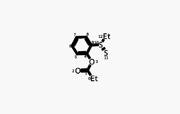 CCC(=O)Oc1ccccc1S(=S)CC